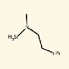 CCCCCN(C)[SiH3]